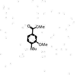 CCCCc1ccc(C(=O)OC)cc1OC